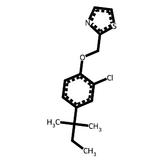 CCC(C)(C)c1ccc(OCc2nccs2)c(Cl)c1